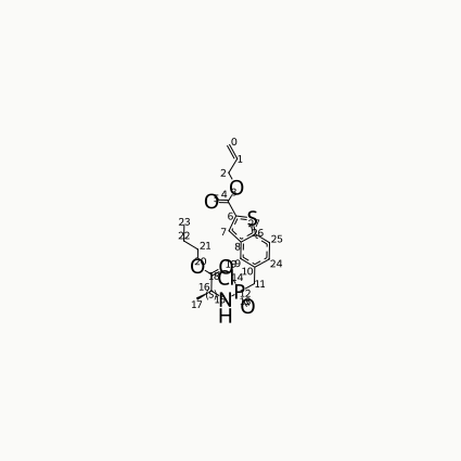 C=CCOC(=O)c1cc2cc(CP(=O)(Cl)N[C@@H](C)C(=O)OCCC)ccc2s1